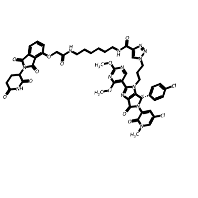 COc1ncc(-c2nc3c(n2CCCn2cc(C(=O)NCCCCCCNC(=O)COc4cccc5c4C(=O)N(C4CCC(=O)NC4=O)C5=O)nn2)[C@H](c2ccc(Cl)cc2)N(c2cc(Cl)cn(C)c2=O)C3=O)c(OC)n1